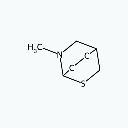 CN1CC2CCC1SC2